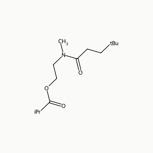 CC(C)C(=O)OCCN(C)C(=O)CCC(C)(C)C